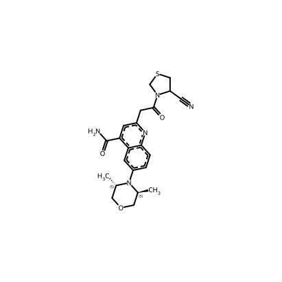 C[C@H]1COC[C@H](C)N1c1ccc2nc(CC(=O)N3CSCC3C#N)cc(C(N)=O)c2c1